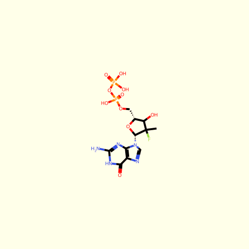 CC1(F)C(O)[C@@H](COP(=O)(O)OP(=O)(O)O)O[C@H]1n1cnc2c(=O)[nH]c(N)nc21